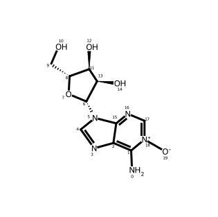 Nc1c2ncn([C@@H]3O[C@H](CO)[C@@H](O)[C@H]3O)c2nc[n+]1[O-]